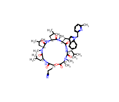 Cc1cccc(Cn2cc(C[C@H]3C(=O)N[C@@H](CC(C)C)C(=O)N(C)[C@@H](C)C(=O)O[C@H](CCC#N)C(=O)N[C@@H](CC(C)C)C(=O)N(C)[C@@H](CC(C)C)C(=O)N[C@@H](CC(C)C)C(=O)N3C)c3ccccc32)n1